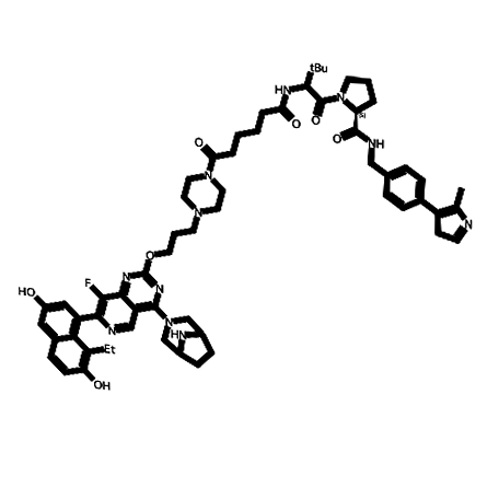 CCc1c(O)ccc2cc(O)cc(-c3ncc4c(N5CC6CCC(C5)N6)nc(OCCCN5CCN(C(=O)CCCCC(=O)NC(C(=O)N6CCC[C@H]6C(=O)NCc6ccc(C7=C(C)N=CC7)cc6)C(C)(C)C)CC5)nc4c3F)c12